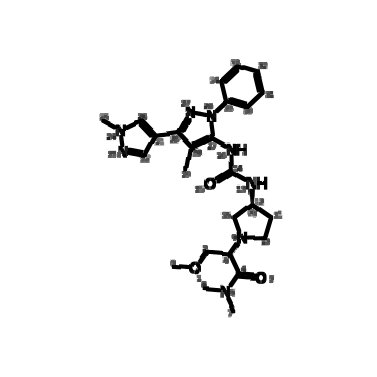 COCC(C(=O)N(C)C)N1CC[C@H](NC(=O)Nc2c(C)c(-c3cnn(C)c3)nn2-c2ccccc2)C1